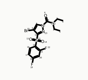 CCN(CC)C(=O)n1cc(Br)c(S(=O)(=O)c2ccc(F)cc2F)n1